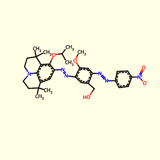 COc1cc(N=Nc2ccc([N+](=O)[O-])cc2)c(CO)cc1N=Nc1cc2c3c(c1OC(C)C)C(C)(C)CCN3CCC2(C)C